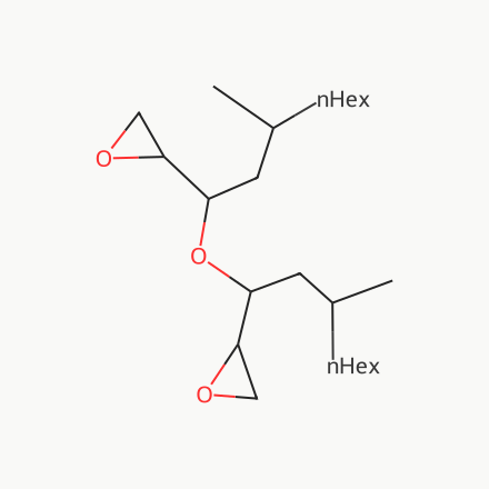 CCCCCCC(C)CC(OC(CC(C)CCCCCC)C1CO1)C1CO1